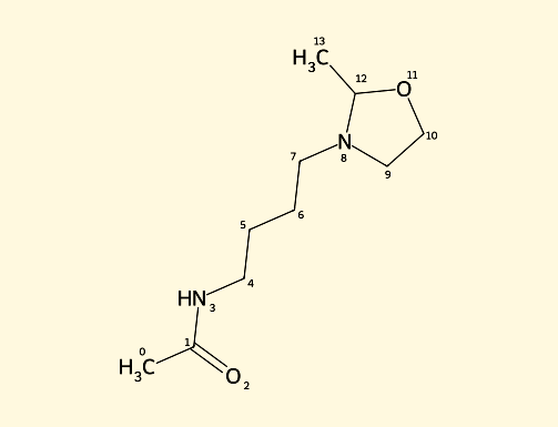 CC(=O)NCCCCN1CCOC1C